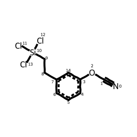 N#COc1cccc(CC[Si](Cl)(Cl)Cl)c1